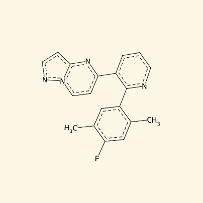 Cc1cc(-c2ncccc2-c2ccn3nccc3n2)c(C)cc1F